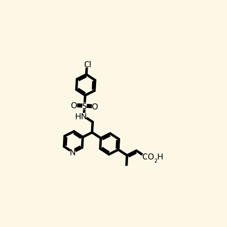 CC(=CC(=O)O)c1ccc(C(CNS(=O)(=O)c2ccc(Cl)cc2)c2cccnc2)cc1